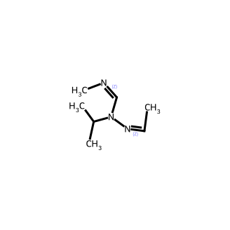 C/C=N\N(/C=N\C)C(C)C